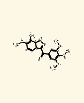 COC1=C(C)C2NN=C(C(=O)c3cc(OC)c(OC)c(OC)c3)C2C=C1